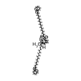 C/C(=C\CCCCCCCCCCCCCCOC1CCCCO1)C(=O)N[C@@H]1CC[C@H]1NC(=O)/C(F)=C/CCCCCCCCCCCCCCOC1CCCCO1